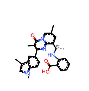 Cc1cc([C@H](C)Nc2ccccc2C(=O)O)c2nc(-c3ccc4c(c3)c(C)cn4C)c(C)c(=O)n2c1